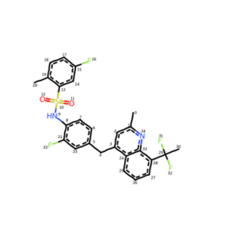 Cc1cc(Cc2ccc(NS(=O)(=O)c3cc(F)ccc3C)c(F)c2)c2cccc(C(C)(F)F)c2n1